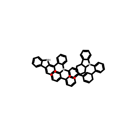 C1=CC(c2ccc(N(c3ccccc3-c3ccccc3)c3ccccc3-c3cccc4c3[nH]c3ccccc34)cc2)=CC(c2ccccc2N2c3ccccc3C3CCCCC32)C1